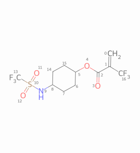 C=C(C(=O)OC1CCC(NS(=O)(=O)C(F)(F)F)CC1)C(F)(F)F